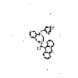 O=C(c1c2ccccc2nc2ccccc12)N1CCN(Cc2c[nH]cn2)c2ccccc2C1